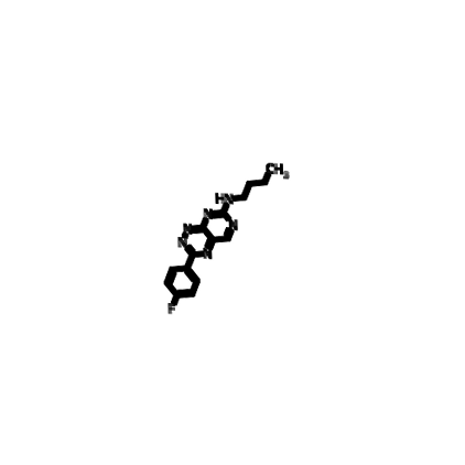 CCCCNc1ncc2nc(-c3ccc(F)cc3)nnc2n1